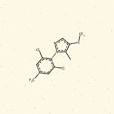 Cc1c(SC(F)(F)F)cnn1-c1c(Cl)cc(C(F)(F)F)cc1Cl